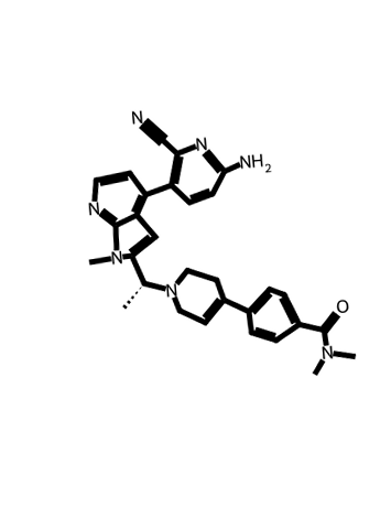 C[C@H](c1cc2c(-c3ccc(N)nc3C#N)ccnc2n1C)N1CC=C(c2ccc(C(=O)N(C)C)cc2)CC1